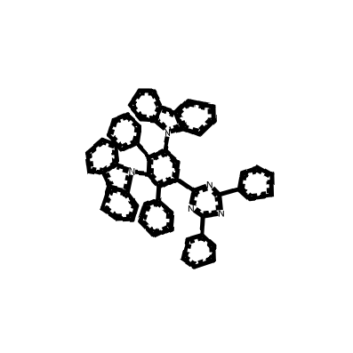 c1ccc(-c2nc(-c3ccccc3)nc(-c3cc(-n4c5ccccc5c5ccccc54)c(-c4ccccc4)c(-n4c5ccccc5c5ccccc54)c3-c3ccccc3)n2)cc1